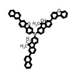 CC1(C)c2cc(-c3ccc4ccccc4c3)ccc2-c2ccc(N(c3ccc4c(c3)C(C)(C)c3cc(-c5ccc6oc7ccccc7c6c5)ccc3-4)c3ccc4c(c3)oc3cc(-c5ccc6ccccc6c5)ccc34)cc21